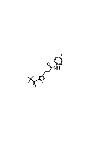 Cc1ccc(NC(=O)/C=C/c2c[nH]c(C(=O)C(C)(C)C)c2)cc1